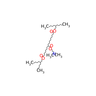 CCCCCC(CCCCC)CCOC(=O)CCCCCCCCC(CCCCCCC(=O)OCCC(CCCCC)CCCCC)C(=O)OCCCN(C)C